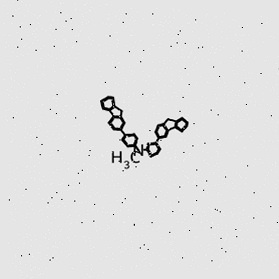 CN(c1ccc(-c2ccc3c(c2)Cc2ccccc2-3)cc1)c1cccc(-c2ccc3c(c2)-c2ccccc2C3)c1